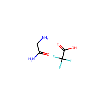 NCC(N)=O.O=C(O)C(F)(F)F